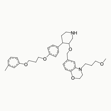 COCCCN1CCOc2ccc(COC3CNCCC3c3ccc(OCCCOc4cccc(C)c4)cc3)cc21